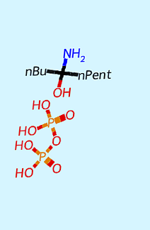 CCCCCC(N)(O)CCCC.O=P(O)(O)OP(=O)(O)O